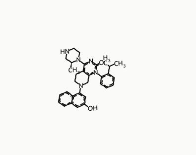 CC(C)c1ccccc1-n1c2c(c(N3CCNC[C@@H]3C)nc1=O)CCN(c1cc(O)cc3ccccc13)C2